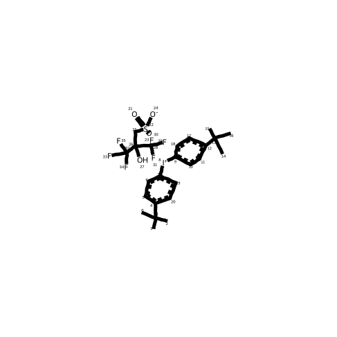 CC(C)(C)c1ccc([I+]c2ccc(C(C)(C)C)cc2)cc1.O=S(=O)([O-])CC(O)(C(F)(F)F)C(F)(F)F